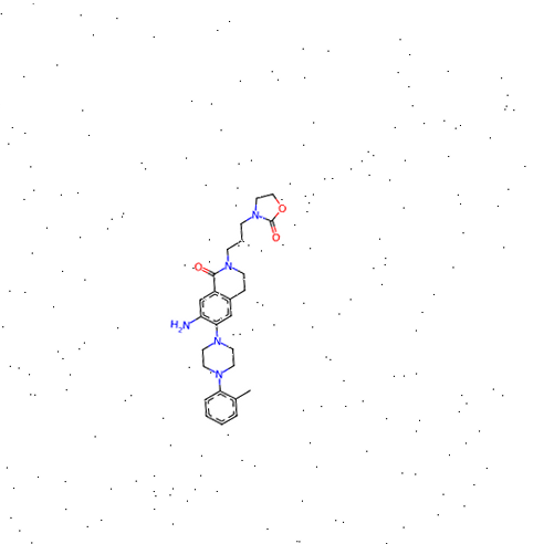 Cc1ccccc1N1CCN(c2cc3c(cc2N)C(=O)N(CCCN2CCOC2=O)CC3)CC1